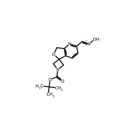 CC(C)(C)OC(=O)N1CC2(C1)OCc1nc(/C=N/O)ccc12